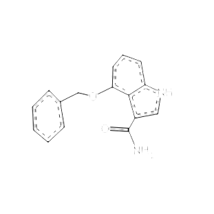 NC(=O)c1c[nH]c2cccc(OCc3ccccc3)c12